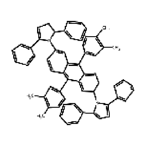 Cc1ccc(-c2c3c(c(-c4ccc(C)c(C)c4)c4cc(N5C(c6ccccc6)=CCC5c5ccccc5)ccc24)=CCC(n2c(-c4ccccc4)ccc2-c2ccccc2)C=3)cc1C